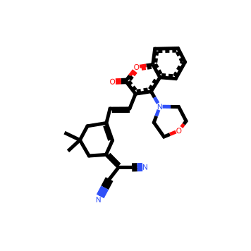 CC1(C)CC(C=Cc2c(N3CCOCC3)c3ccccc3oc2=O)=CC(=C(C#N)C#N)C1